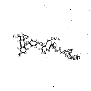 COc1cc2c(Oc3ccc(N(C(=O)C4(C(N)=O)CC4)c4ccc(F)cc4)cc3)ccnc2cc1OCCCNCC(=O)NO